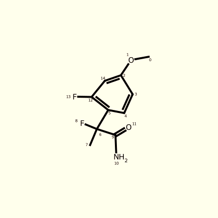 COc1ccc(C(C)(F)C(N)=O)c(F)c1